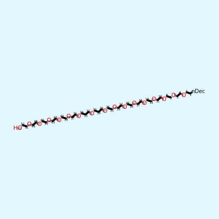 CCCCCCCCCCCCOCCOCCOCCOCCOCCOCCOCCOCCOCCCOCCCOCCOCCOCCOCCOCCOCCO